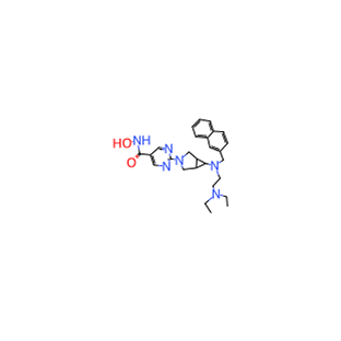 CCN(CC)CCN(Cc1ccc2ccccc2c1)C1C2CN(c3ncc(C(=O)NO)cn3)CC21